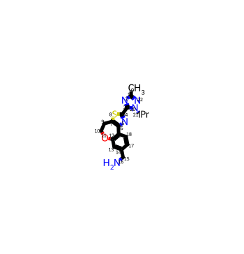 Cc1nc(-c2nc3c(s2)CCOc2cc(CN)ccc2-3)n(C(C)C)n1